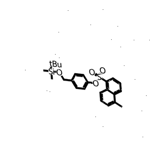 Cc1cccc2c(S(=O)(=O)Oc3ccc(CO[Si](C)(C)C(C)(C)C)cc3)cccc12